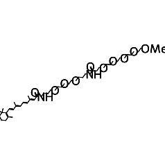 COCCOCCOCCOCCOCCC(=O)NCCCOCCOCCOCCCNC(=O)/C=C(C)/C=C/C=C(C)/C=C/C1=C(C)CCCC1(C)C